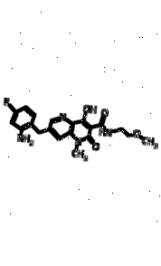 COCCNC(=O)c1c(O)c2ncc(Cc3ccc(F)cc3N)cc2n(C)c1=O